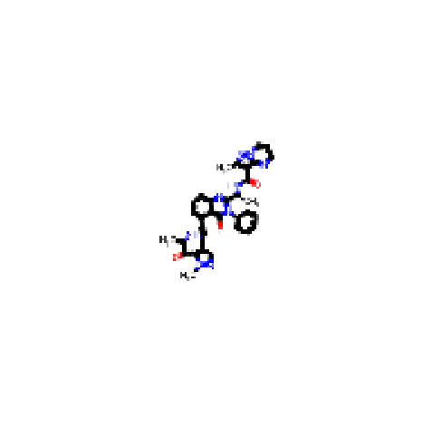 Cc1nn2cccnc2c1C(=O)N[C@@H](C)c1nc2cccc(C#Cc3cnn(C)c3C(=O)C(C)N)c2c(=O)n1-c1ccccc1